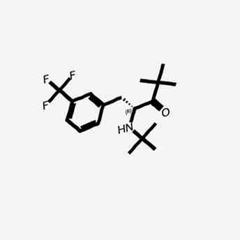 CC(C)(C)N[C@H](Cc1cccc(C(F)(F)F)c1)C(=O)C(C)(C)C